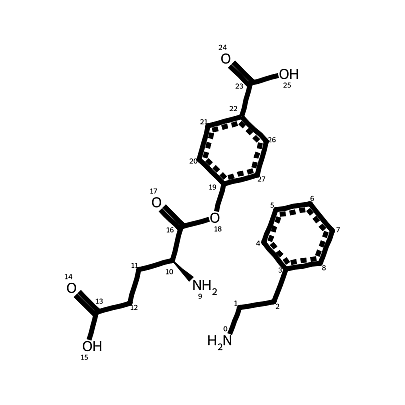 NCCc1ccccc1.N[C@@H](CCC(=O)O)C(=O)Oc1ccc(C(=O)O)cc1